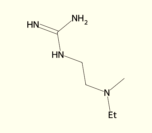 CCN(C)CCNC(=N)N